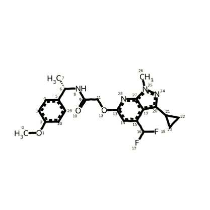 COc1ccc([C@H](C)NC(=O)COc2cc(C(F)F)c3c(C4CC4)nn(C)c3n2)cc1